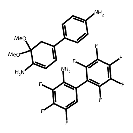 COC1(OC)CC(c2ccc(N)cc2)=CC=C1N.Nc1c(-c2c(F)c(F)c(F)c(F)c2F)cc(F)c(F)c1F